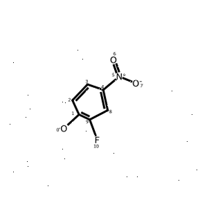 [O]c1ccc([N+](=O)[O-])cc1F